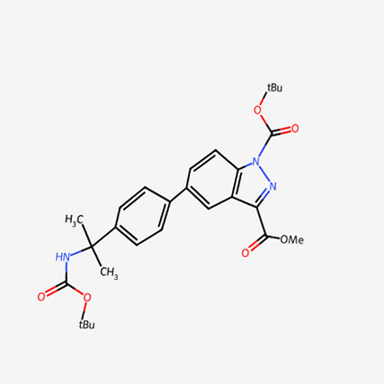 COC(=O)c1nn(C(=O)OC(C)(C)C)c2ccc(-c3ccc(C(C)(C)NC(=O)OC(C)(C)C)cc3)cc12